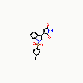 Cc1ccc(S(=O)(=O)n2cc(C3=CC(=O)NC3=O)c3ccccc32)cc1